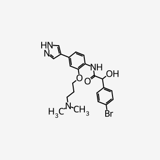 CN(C)CCCOc1cc(-c2cn[nH]c2)ccc1NC(=O)C(O)c1ccc(Br)cc1